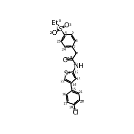 CCS(=O)(=O)c1ccc(CC(=O)Nc2cc(-c3ccc(Cl)cc3)cs2)cc1